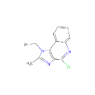 Cc1nc2c(Cl)nc3ccccc3c2n1CC(C)C